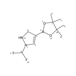 CC1(C)OB(C2=CN(C(F)F)NC2)OC1(C)C